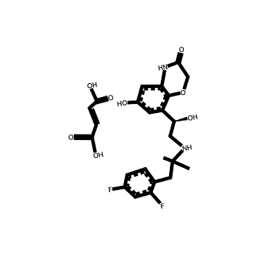 CC(C)(Cc1ccc(F)cc1F)NC[C@H](O)c1cc(O)cc2c1OCC(=O)N2.O=C(O)C=CC(=O)O